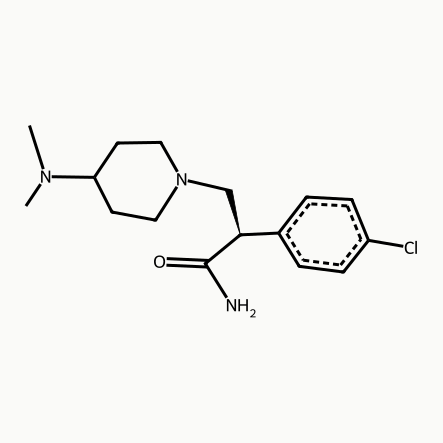 CN(C)C1CCN(C[C@H](C(N)=O)c2ccc(Cl)cc2)CC1